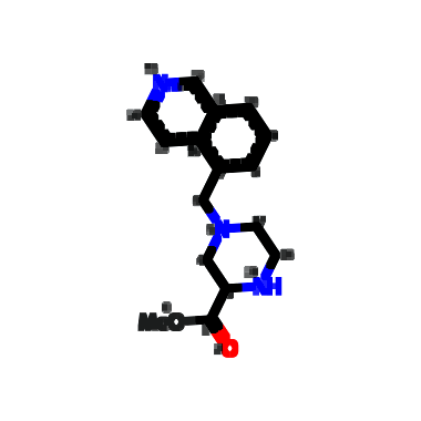 COC(=O)C1CN(Cc2cccc3cnccc23)CCN1